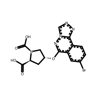 O=C(O)[C@@H]1C[C@@H](Oc2nn3cnnc3c3ccc(Br)cc23)CN1C(=O)O